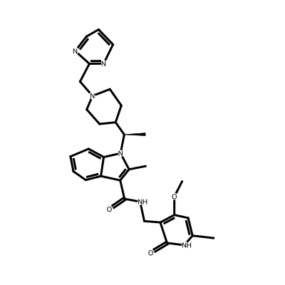 COc1cc(C)[nH]c(=O)c1CNC(=O)c1c(C)n([C@H](C)C2CCN(Cc3ncccn3)CC2)c2ccccc12